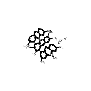 C[n+]1c2cc(N)ccc2cc2ccc(N)cc21.Cc1cc2cc3cc(C)c(N)cc3nc2cc1N.Nc1ccc2cc3ccc(N)cc3nc2c1.[Cl-].[Cl-].[H+]